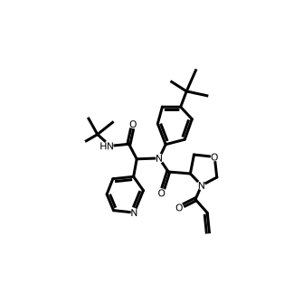 C=CC(=O)N1COCC1C(=O)N(c1ccc(C(C)(C)C)cc1)C(C(=O)NC(C)(C)C)c1cccnc1